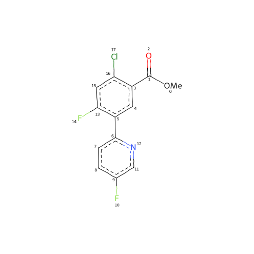 COC(=O)c1cc(-c2ccc(F)cn2)c(F)cc1Cl